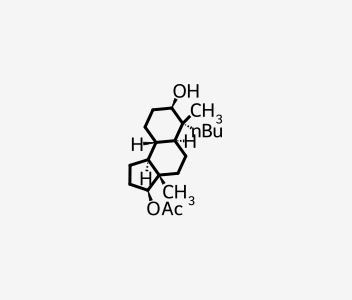 CCCC[C@@]1(C)[C@H](O)CC[C@@H]2[C@@H]1CC[C@]1(C)[C@@H](OC(C)=O)CC[C@@H]21